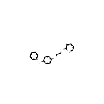 Cc1cccnc1OCCOc1ccc(Oc2ccccc2)cc1